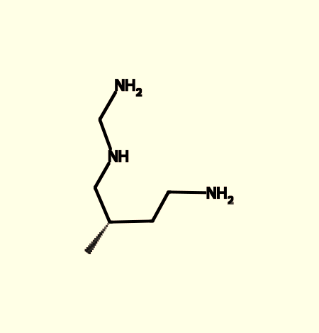 C[C@@H](CCN)CNCN